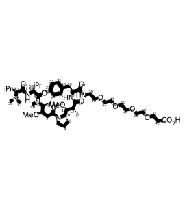 CC[C@H](C)C([C@@H](CC(=O)N1CCC[C@H]1[C@H](OC)[C@@H](C)C(=O)N[C@@H](Cc1ccccc1)C(=O)NCCOCCOCCOCCOCCC(=O)O)OC)N(C)C(=O)[C@@H](NC(=O)[C@H](C(C)C)N(C)C)C(C)C